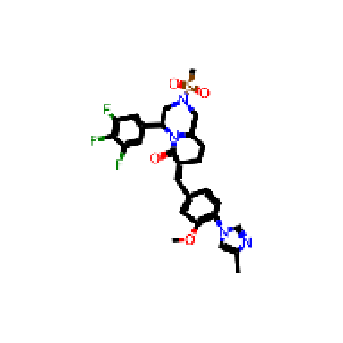 COc1cc(/C=C2\CCC3CN(S(C)(=O)=O)CC(c4cc(F)c(F)c(F)c4)N3C2=O)ccc1-n1cnc(C)c1